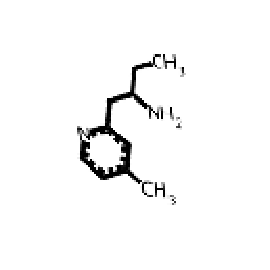 CCC(N)Cc1cc(C)ccn1